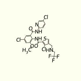 COc1cc(Cl)cc(C(=O)Nc2ccc(Cl)cn2)c1NC(=O)c1scc(CNCC(F)(F)F)c1Cl